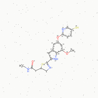 CNC(=O)CC1CN=C(c2cc3cc(Oc4ccc(S)cn4)cc(OC)c3[nH]2)S1